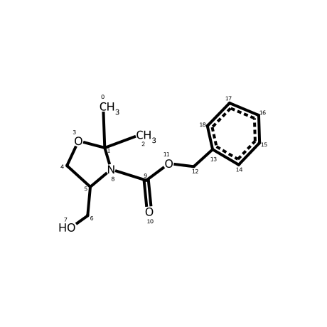 CC1(C)OCC(CO)N1C(=O)OCc1ccccc1